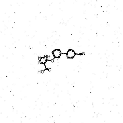 N#Cc1ccc(-c2cccc(Oc3[nH]nnc3C(=O)O)c2)cc1